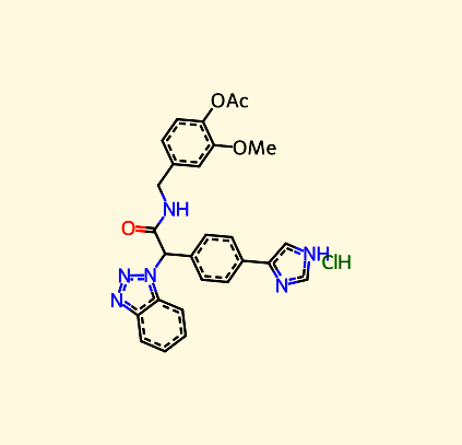 COc1cc(CNC(=O)C(c2ccc(-c3c[nH]cn3)cc2)n2nnc3ccccc32)ccc1OC(C)=O.Cl